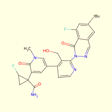 Cn1cc(-c2ccnc(-n3ncc4cc(C(C)(C)C)cc(F)c4c3=O)c2CO)cc(C2(C(N)=O)CC2F)c1=O